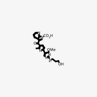 COc1nc(N(C)CCCO)ncc1-c1ccc(C(=O)c2cn(C(=O)O)c3ncccc23)c(C)n1